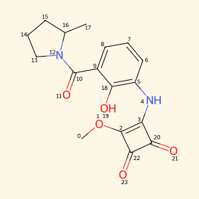 COc1c(Nc2cccc(C(=O)N3CCCC3C)c2O)c(=O)c1=O